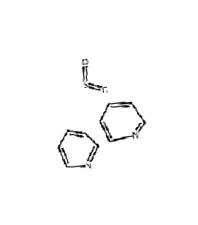 O=S=O.c1ccncc1.c1ccncc1